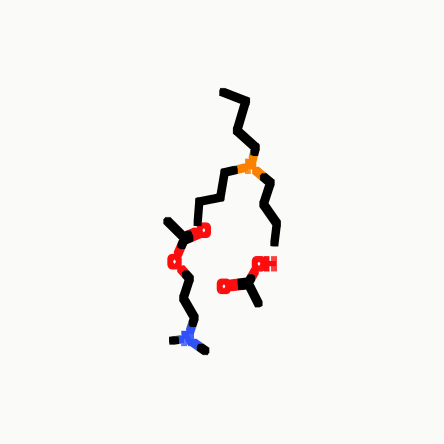 CC(=O)O.CC(=O)OCCCN(C)C.CCCCP(CCCC)CCCC